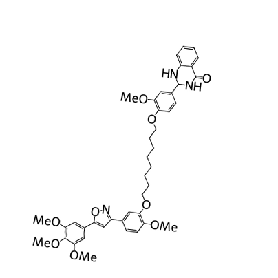 COc1cc(C2NC(=O)c3ccccc3N2)ccc1OCCCCCCCCOc1cc(-c2cc(-c3cc(OC)c(OC)c(OC)c3)on2)ccc1OC